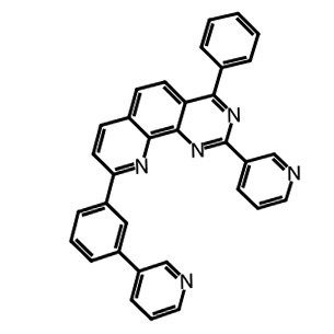 c1ccc(-c2nc(-c3cccnc3)nc3c2ccc2ccc(-c4cccc(-c5cccnc5)c4)nc23)cc1